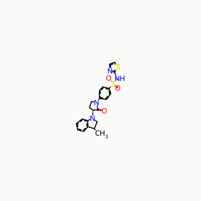 CC1CN([C@H]2CCN(c3ccc(S(=O)(=O)Nc4nccs4)cc3)C2=O)c2ccccc21